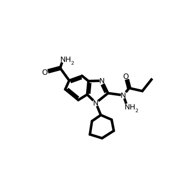 CCC(=O)N(N)c1nc2cc(C(N)=O)ccc2n1C1CCCCC1